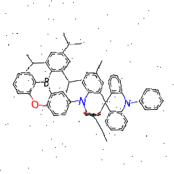 Cc1ccc2c(c1)C1(c3ccccc3N(c3ccccc3)c3ccccc31)c1cc(C)ccc1N2c1ccc2c(c1)B(c1c(C(C)C)cc(C(C)C)cc1C(C)C)c1ccccc1O2